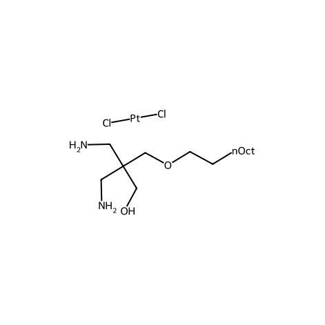 CCCCCCCCCCOCC(CN)(CN)CO.[Cl][Pt][Cl]